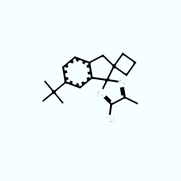 CC1=NC2(N=C1N)c1cc(C(C)(C)C)ccc1CC21CCC1